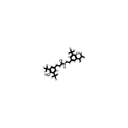 CC(C)C(C)c1cc(CCNC(=O)CCc2cc(C(C)(C)C)c(O)c(C(C)(C)C)c2)cc(C(C)(C)C)c1O